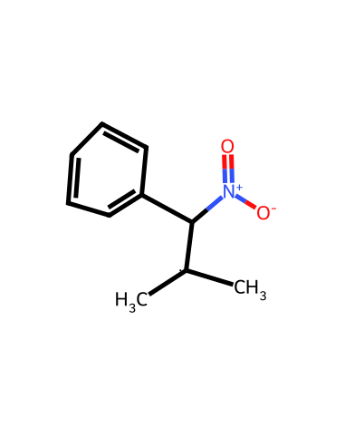 C[C](C)C(c1ccccc1)[N+](=O)[O-]